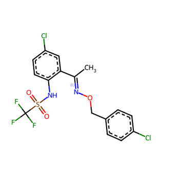 C/C(=N\OCc1ccc(Cl)cc1)c1cc(Cl)ccc1NS(=O)(=O)C(F)(F)F